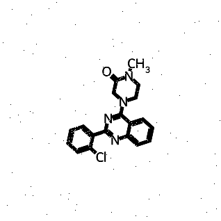 CN1CCN(c2nc(-c3ccccc3Cl)nc3ccccc23)CC1=O